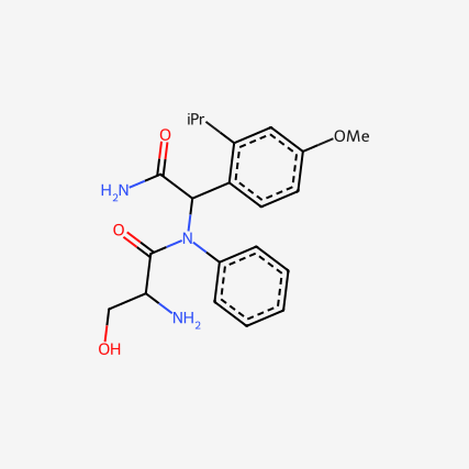 COc1ccc(C(C(N)=O)N(C(=O)C(N)CO)c2ccccc2)c(C(C)C)c1